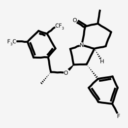 CC1CC[C@H]2[C@H](c3ccc(F)cc3)[C@@H](O[C@H](C)c3cc(C(F)(F)F)cc(C(F)(F)F)c3)CN2C1=O